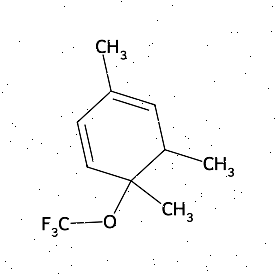 CC1=CC(C)C(C)(OC(F)(F)F)C=C1